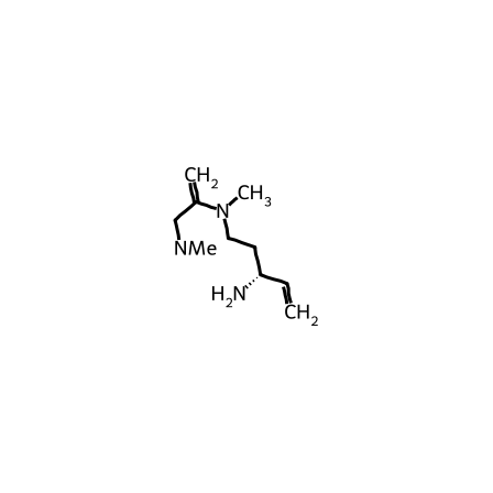 C=C[C@H](N)CCN(C)C(=C)CNC